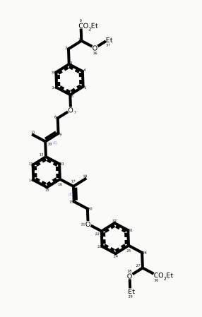 CCOC(=O)C(Cc1ccc(OC/C=C(\C)c2cccc(/C(C)=C/COc3ccc(CC(OCC)C(=O)OCC)cc3)c2)cc1)OCC